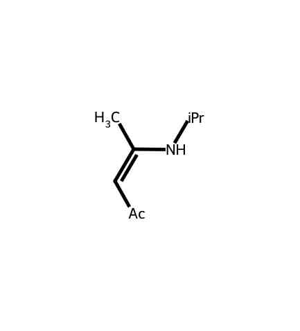 CC(=O)C=C(C)NC(C)C